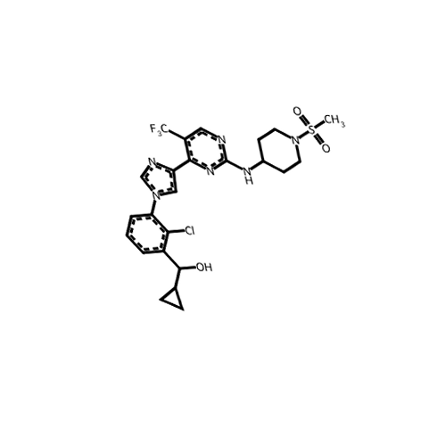 CS(=O)(=O)N1CCC(Nc2ncc(C(F)(F)F)c(-c3cn(-c4cccc(C(O)C5CC5)c4Cl)cn3)n2)CC1